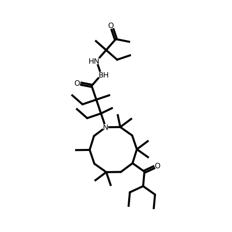 CCC(CC)C(=O)C1CC(C)(C)CC(C)CN(C(C)(CC)C(C)(CC)C(=O)BNC(C)(CC)C(C)=O)C(C)(C)CC1(C)C